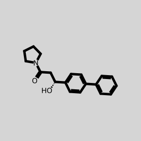 O=C(C[C@@H](O)c1ccc(-c2ccccc2)cc1)N1CCCC1